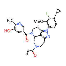 C=CC(=O)N1CCc2nn(-c3ccc(C4CC4)c(F)c3OC)c3c2C(C1)N(C(=O)c1cnc(C(F)(F)F)c(O)c1)CC3